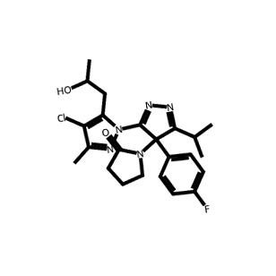 Cc1nn(C2=NN=C(C(C)C)C2(c2ccc(F)cc2)N2CCCC2=O)c(CC(C)O)c1Cl